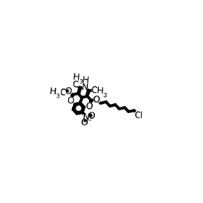 COC(=O)C1=C(C)NC(C)=C(C(=O)OCCCCCCCCCl)C1c1cccc([N+](=O)[O-])c1